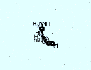 CCCCN(CC(O)CNc1ccc(C(=N)N)cc1)S(=O)(=O)c1ccc2cc(Cl)ccc2c1